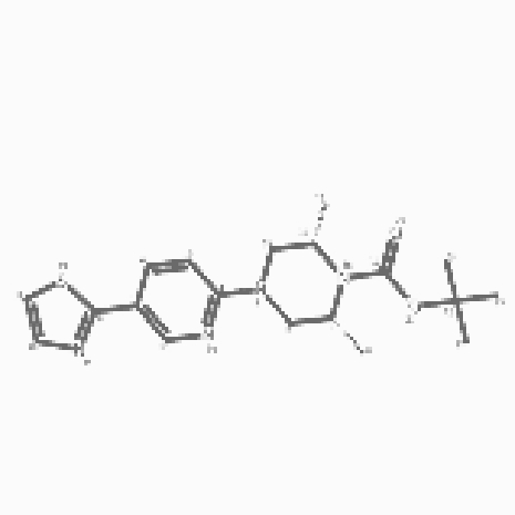 C[C@@H]1CN(c2ccc(-c3nccs3)cn2)C[C@H](C)N1C(=O)OC(C)(C)C